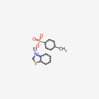 CC[n+]1csc2ccccc21.Cc1ccc(S(=O)(=O)[O-])cc1